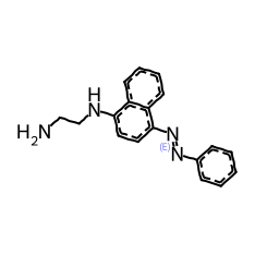 NCCNc1ccc(/N=N/c2ccccc2)c2ccccc12